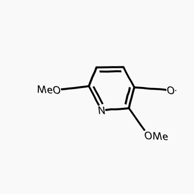 COc1ccc([O])c(OC)n1